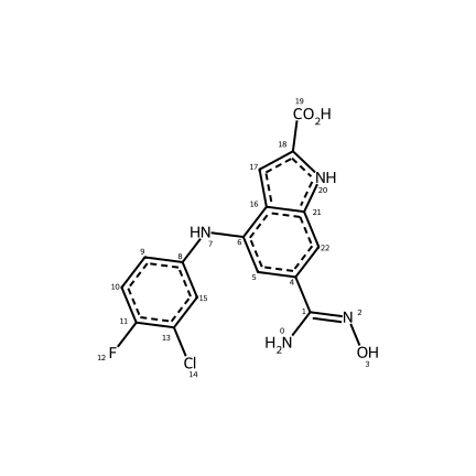 NC(=NO)c1cc(Nc2ccc(F)c(Cl)c2)c2cc(C(=O)O)[nH]c2c1